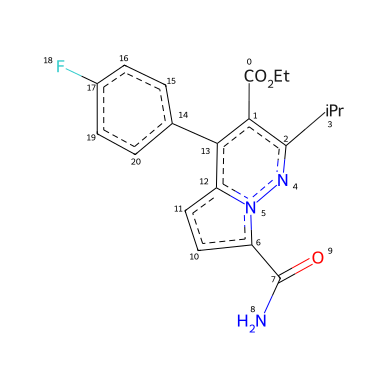 CCOC(=O)c1c(C(C)C)nn2c(C(N)=O)ccc2c1-c1ccc(F)cc1